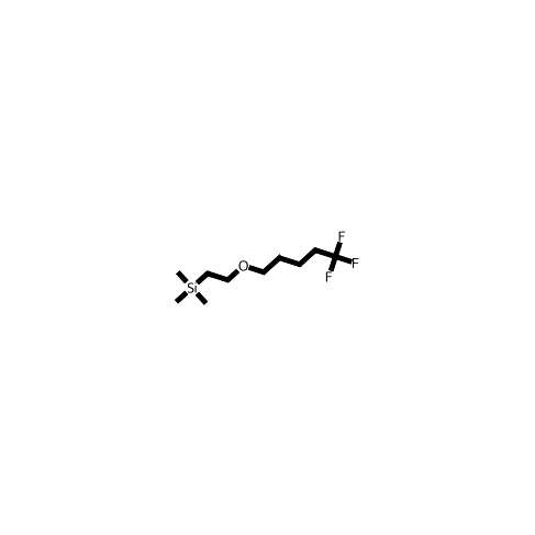 C[Si](C)(C)CCOC[CH]CCC(F)(F)F